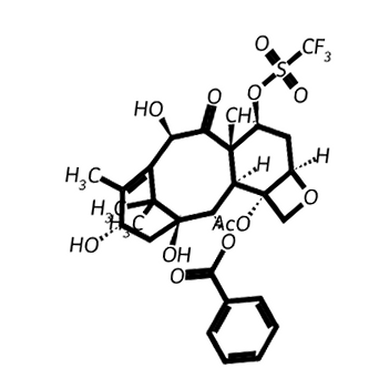 CC(=O)O[C@@]12CO[C@@H]1C[C@H](OS(=O)(=O)C(F)(F)F)[C@@]1(C)C(=O)[C@H](O)C3=C(C)[C@@H](O)C[C@@](O)([C@@H](OC(=O)c4ccccc4)[C@H]21)C3(C)C